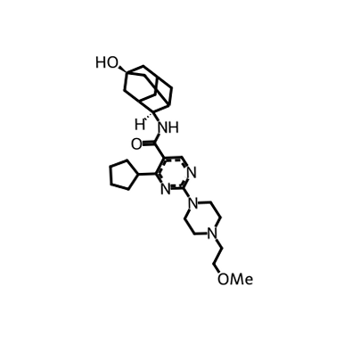 COCCN1CCN(c2ncc(C(=O)N[C@H]3C4CC5CC3C[C@@](O)(C5)C4)c(C3CCCC3)n2)CC1